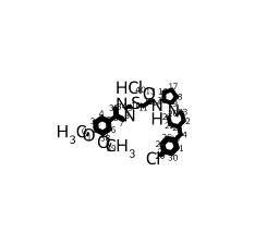 COc1ccc(-c2cnc(SCC(=O)NC3CCCC3N3CCC(Cc4ccc(Cl)cc4)CC3)nc2)cc1OC.Cl